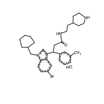 Cc1cccc(C(CC(=O)NCCC2CCNCC2)c2cn(CC3CCCCC3)c3ccc(Br)cc23)c1.Cl